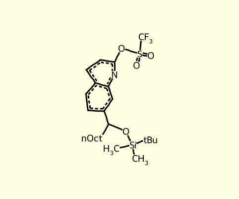 CCCCCCCCC(O[Si](C)(C)C(C)(C)C)c1ccc2ccc(OS(=O)(=O)C(F)(F)F)nc2c1